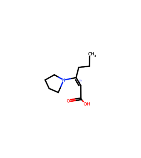 CCC/C(=C/C(=O)O)N1CCCC1